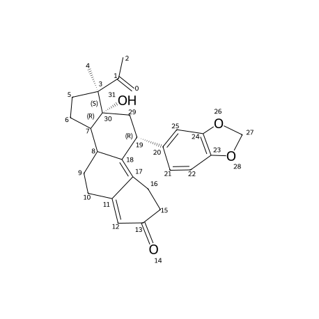 C=C(C)[C@]1(C)CCC2C3CCC4=CC(=O)CCC4=C3[C@@H](c3ccc4c(c3)OCO4)C[C@@]21O